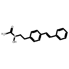 NC(=O)N(O)CCc1ccc(C=Cc2ccccc2)cc1